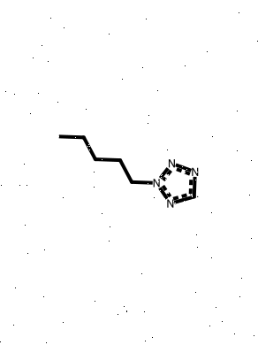 CCCCCn1n[c]nn1